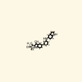 C=C(c1[nH]c2ccc(-c3nccc(Nc4ccc5[nH]ncc5c4)n3)cc2c1C)N(CC)CC